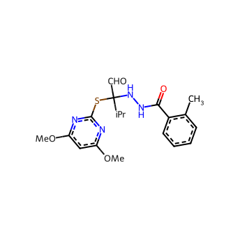 COc1cc(OC)nc(SC(C=O)(NNC(=O)c2ccccc2C)C(C)C)n1